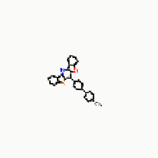 N#Cc1ccc(-c2ccc(-c3c4oc5ccccc5c4nc4c3sc3ccccc34)cc2)cc1